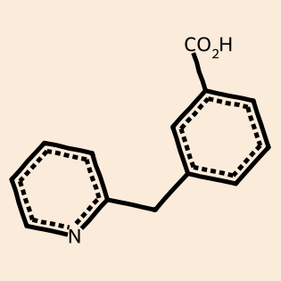 O=C(O)c1cccc(Cc2ccccn2)c1